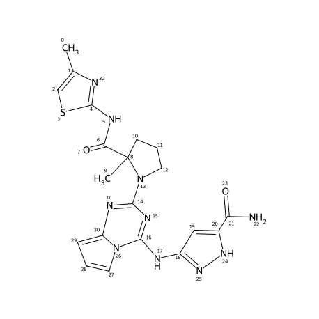 Cc1csc(NC(=O)C2(C)CCCN2c2nc(Nc3cc(C(N)=O)[nH]n3)n3cccc3n2)n1